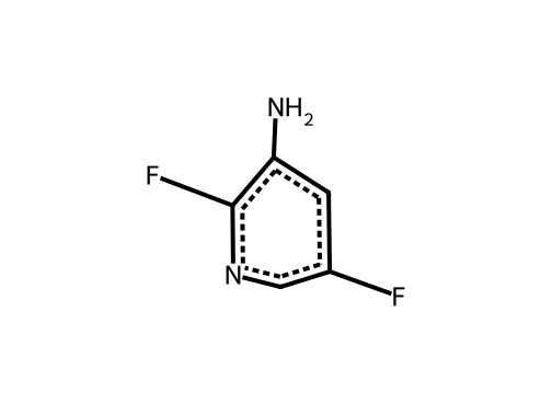 Nc1cc(F)cnc1F